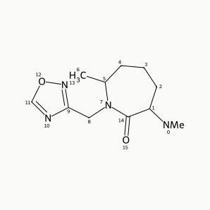 CNC1CCCC(C)N(Cc2ncon2)C1=O